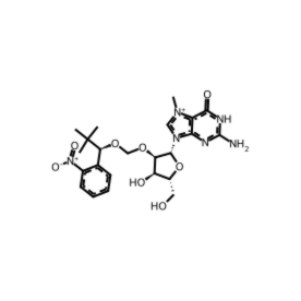 C[n+]1cn([C@@H]2O[C@H](CO)[C@@H](O)[C@H]2OCO[C@@H](c2ccccc2[N+](=O)[O-])C(C)(C)C)c2nc(N)[nH]c(=O)c21